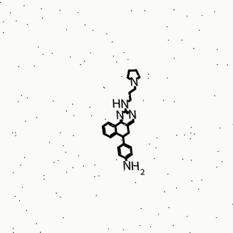 Nc1ccc(C2Cc3cnc(NCCCN4CCCC4)nc3-c3ccccc32)cc1